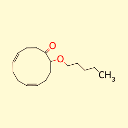 CCCCCOC1CCC=CCCC=CCCC1=O